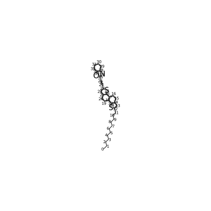 CCCCCCCCCCCCc1cc2ccc3c(ccc4cc(C#Cc5nc6ccccc6o5)sc43)c2s1